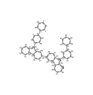 c1ccc(-c2ccc(-n3c4ccccc4c4ccc(-c5ccc6c(c5)c5cccnc5n6-c5cccc(-c6ccccc6)c5)cc43)cc2)cc1